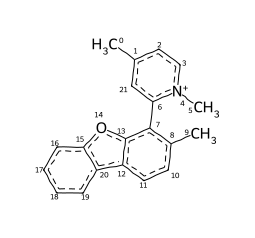 Cc1cc[n+](C)c(-c2c(C)ccc3c2oc2ccccc23)c1